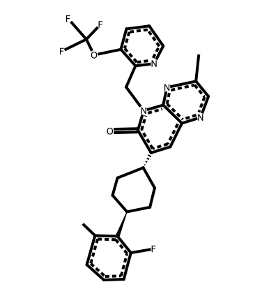 Cc1cnc2cc([C@H]3CC[C@H](c4c(C)cccc4F)CC3)c(=O)n(Cc3ncccc3OC(F)(F)F)c2n1